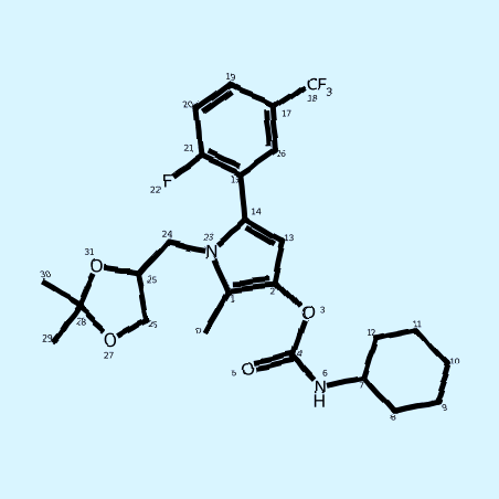 Cc1c(OC(=O)NC2CCCCC2)cc(-c2cc(C(F)(F)F)ccc2F)n1CC1COC(C)(C)O1